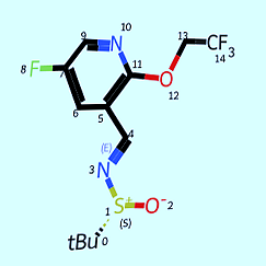 CC(C)(C)[S@@+]([O-])/N=C/c1cc(F)cnc1OCC(F)(F)F